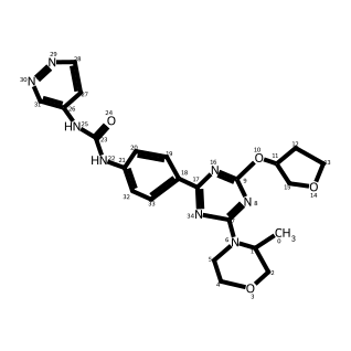 CC1COCCN1c1nc(OC2CCOC2)nc(-c2ccc(NC(=O)Nc3ccnnc3)cc2)n1